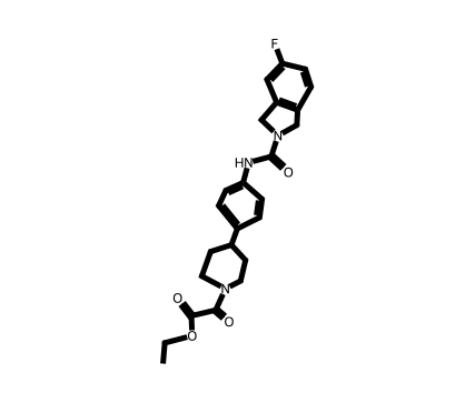 CCOC(=O)C(=O)N1CCC(c2ccc(NC(=O)N3Cc4ccc(F)cc4C3)cc2)CC1